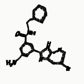 Nc1cc(C(=O)NCc2ccccc2)cc(-c2nc3cc(Br)cnc3[nH]2)c1